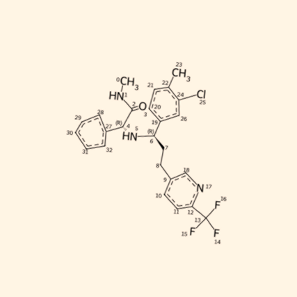 CNC(=O)[C@H](N[C@H](CCc1ccc(C(F)(F)F)nc1)c1ccc(C)c(Cl)c1)c1ccccc1